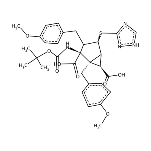 COc1ccc(CC2[C@@H](Sc3nc[nH]n3)C3[C@@H](C(=O)O)[C@@]3(Cc3ccc(OC)cc3)[C@]2(NC(=O)OC(C)(C)C)C(=O)O)cc1